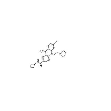 CC(c1ccc(F)cc1)c1nc(C(=O)NC2CCC2)cnc1NCCN1CCCC1